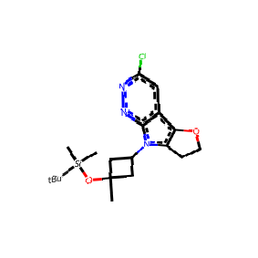 CC1(O[Si](C)(C)C(C)(C)C)CC(n2c3c(c4cc(Cl)nnc42)OCC3)C1